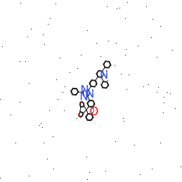 c1ccc(-c2ccc(-c3ccc(-c4nc(-c5ccccc5)nc(-c5ccc6c(c5)C5(c7ccccc7O6)c6ccccc6-c6ccccc65)n4)cc3)c(-c3ccccc3)n2)cc1